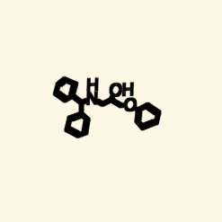 OC(CNC(c1ccccc1)c1ccccc1)COc1ccccc1